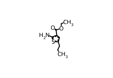 CCCc1cc(C(=O)OCC)c(N)s1